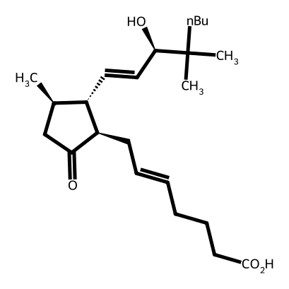 CCCCC(C)(C)[C@H](O)C=C[C@H]1[C@H](C)CC(=O)[C@@H]1CC=CCCCC(=O)O